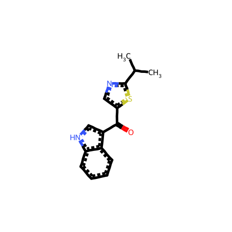 CC(C)c1ncc(C(=O)c2c[nH]c3ccccc23)s1